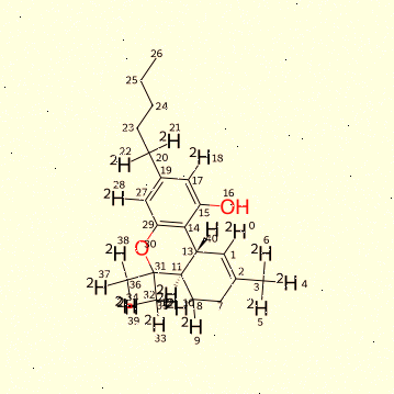 [2H]C1=C(C([2H])([2H])[2H])CC([2H])([2H])[C@]2([2H])[C@@H]1c1c(O)c([2H])c(C([2H])([2H])CCCC)c([2H])c1OC2(C([2H])([2H])[2H])C([2H])([2H])[2H]